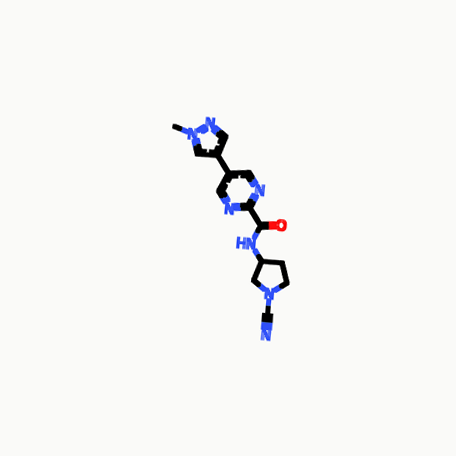 Cn1cc(-c2cnc(C(=O)NC3CCN(C#N)C3)nc2)cn1